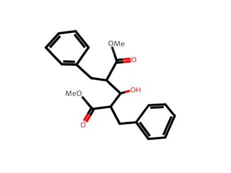 COC(=O)C(Cc1ccccc1)C(O)C(Cc1ccccc1)C(=O)OC